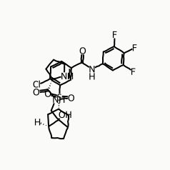 O=C(Nc1cc(F)c(F)c(F)c1)c1ccc(Cl)c(S(=O)(=O)[C@@H]2CC3CC[C@@H](C2)[C@@]3(O)CNC(=O)[C@@H]2CCCN2)c1